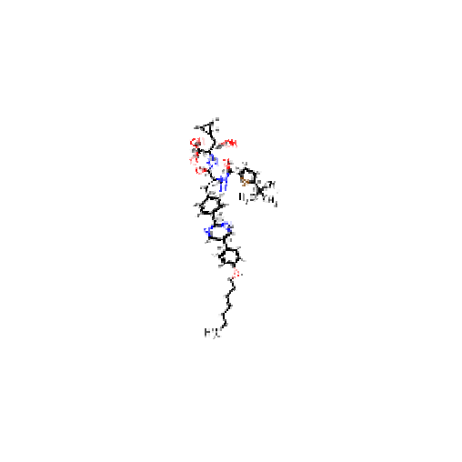 CCCCCCCOc1ccc(-c2cnc(-c3ccc(C[C@H](NC(=O)c4ccc(C(C)(C)C)s4)C(=O)NC(C(=O)O)C(O)C4CC4)cc3)nc2)cc1